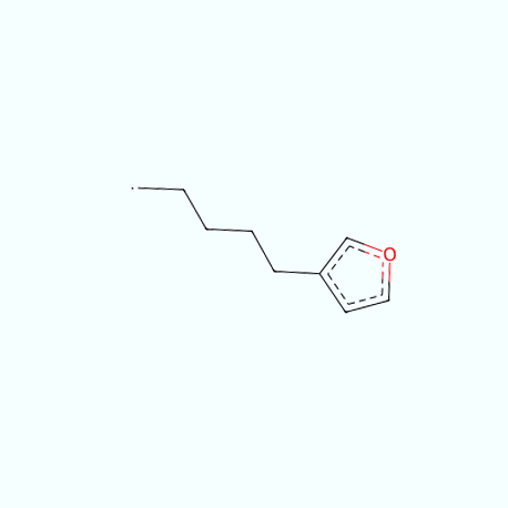 [CH2]CCCCc1ccoc1